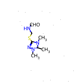 Cc1n(C)c(SCNC=O)n[n+]1C